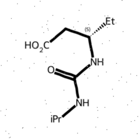 CC[C@@H](CC(=O)O)NC(=O)NC(C)C